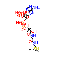 CC(=O)[SH](CCNC(=O)CCNC(=O)C(O)C(C)(C)COP(=O)(O)OP(=O)(O)OC[C@H]1O[C@@H](n2cnc3c(N)ncnc32)[C@H](O)[C@@H]1OP(=O)(O)O)C(C)=O